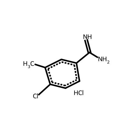 Cc1cc(C(=N)N)ccc1Cl.Cl